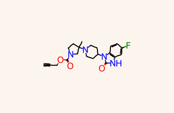 C#CCOC(=O)N1CCC(C)(N2CCC(n3c(=O)[nH]c4cc(F)ccc43)CC2)C1